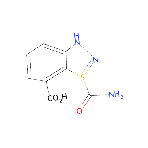 NC(=O)S1=NNc2cccc(C(=O)O)c21